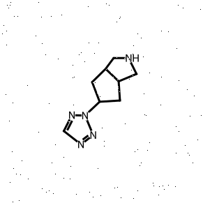 c1nnn(C2CC3CNCC3C2)n1